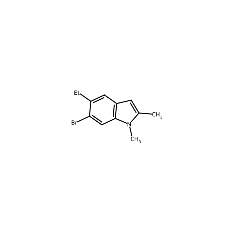 CCc1cc2cc(C)n(C)c2cc1Br